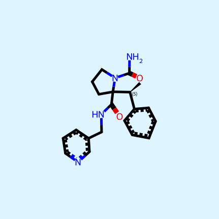 C[C@@H](c1ccccc1)C1(C(=O)NCc2cccnc2)CCCN1C(N)=O